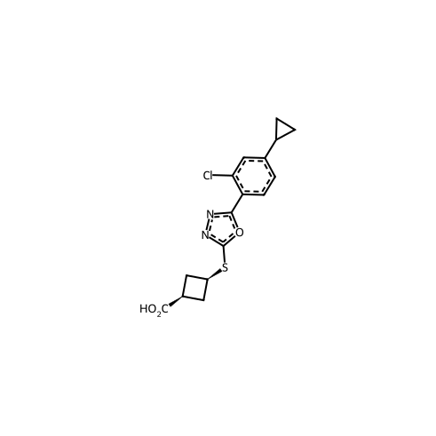 O=C(O)[C@H]1C[C@@H](Sc2nnc(-c3ccc(C4CC4)cc3Cl)o2)C1